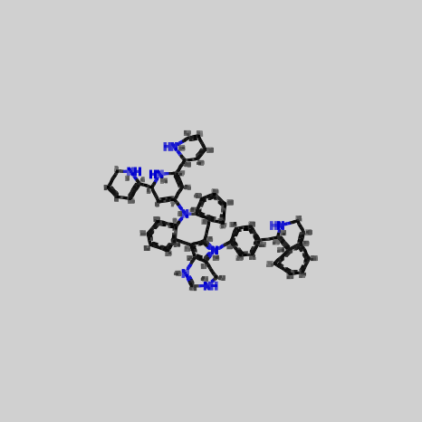 C1=CCNC(C2C=C(N3c4ccccc4-c4c5c(n(-c6ccc(C7=c8ccccc8=CCN7)cc6)c4-c4ccccc43)CNC=N5)C=C(C3C=CC=CN3)N2)=C1